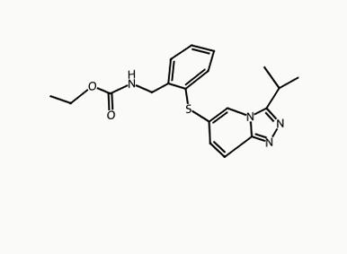 CCOC(=O)NCc1ccccc1Sc1ccc2nnc(C(C)C)n2c1